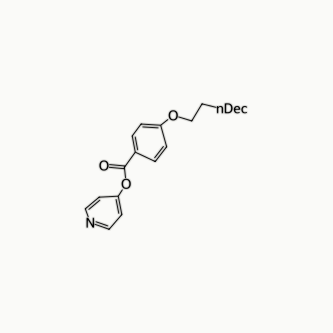 CCCCCCCCCCCCOc1ccc(C(=O)Oc2ccncc2)cc1